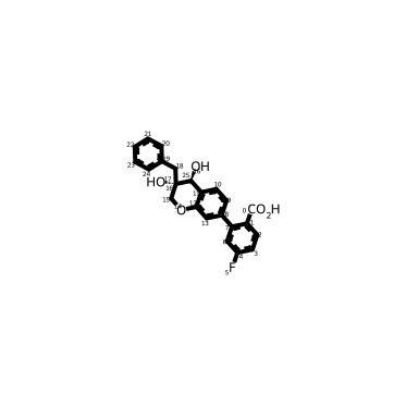 O=C(O)c1ccc(F)cc1-c1ccc2c(c1)OC[C@@](O)(Cc1ccccc1)[C@H]2O